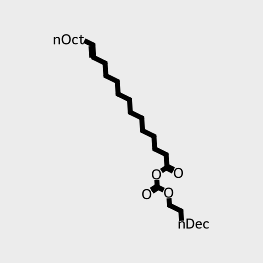 CCCCCCCCC=CCCCCCCCCCCCC(=O)OC(=O)OCCCCCCCCCCCC